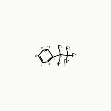 FC(F)(Br)C(F)(F)c1ccccc1